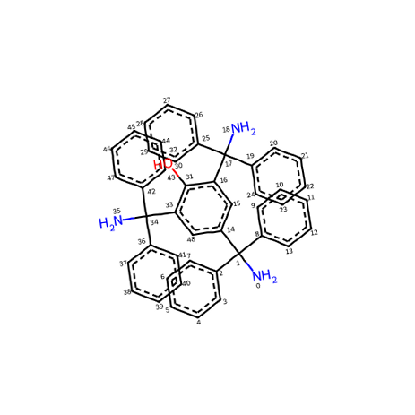 NC(c1ccccc1)(c1ccccc1)c1cc(C(N)(c2ccccc2)c2ccccc2)c(O)c(C(N)(c2ccccc2)c2ccccc2)c1